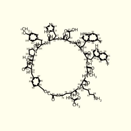 COc1ccc(C[C@@H]2NC(=O)[C@H](Cc3cnc[nH]3)NC(=O)[C@H](CC(=O)O)NC(=O)[C@H](Cc3c[nH]c4ccc(F)cc34)NC(=O)[C@H](Cc3c[nH]c4ccc(F)cc34)NC(=O)[C@@H](C)NC(=O)[C@H](CCCCN)NC(=O)[C@@H](NC(C)=O)CCNC(=O)COc3ccc(cc3)C[C@@H](C(N)=O)NC(=O)[C@]3(C)CCCN3C2=O)cc1